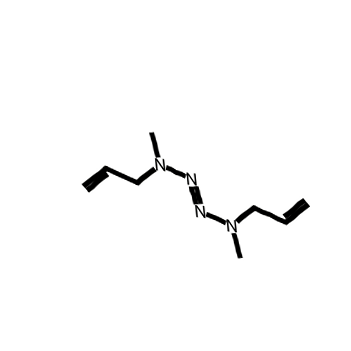 C=CCN(C)/N=N/N(C)CC=C